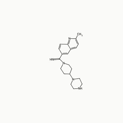 Cc1ccc2cc(C(=N)N3CCC(N4CCNCC4)CC3)ccc2n1